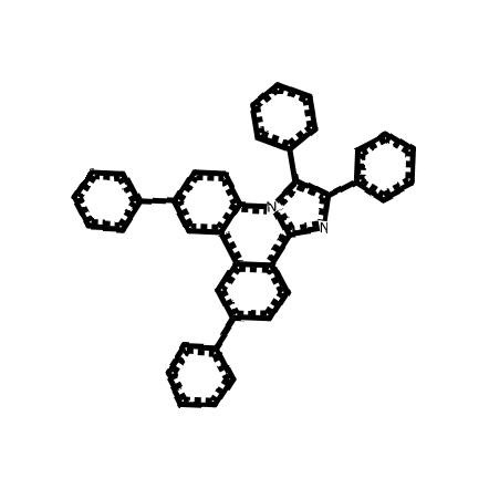 c1ccc(-c2ccc3c(c2)c2cc(-c4ccccc4)ccc2n2c(-c4ccccc4)c(-c4ccccc4)nc32)cc1